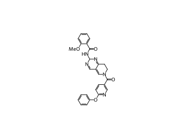 COc1ccccc1C(=O)NC1N=CC2=CN(C(=O)c3ccc(Oc4ccccc4)nc3)CCC2=N1